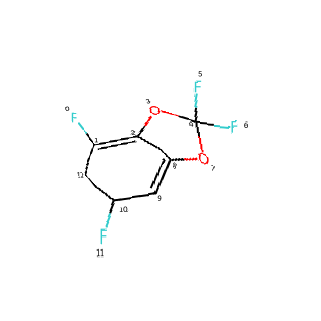 FC1=C2OC(F)(F)OC2=CC(F)C1